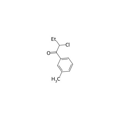 CCC(Cl)C(=O)c1cccc(C)c1